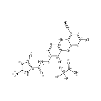 N#Cc1cc(Cl)cc(Oc2c(Br)ccc(CNC(=O)c3[nH]c(N)nc3Cl)c2F)c1.O=C(O)C(F)(F)F